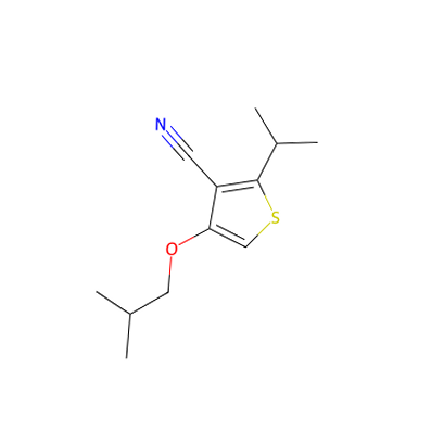 CC(C)COc1csc(C(C)C)c1C#N